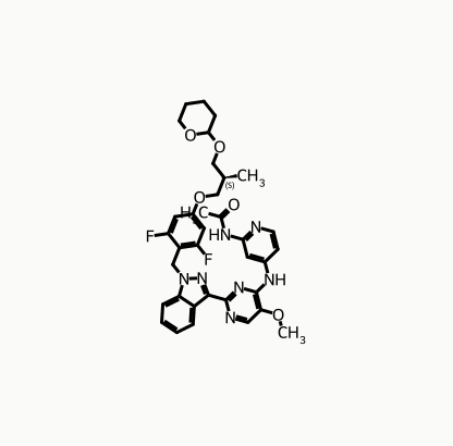 COc1cnc(-c2nn(Cc3c(F)cc(OC[C@H](C)COC4CCCCO4)cc3F)c3ccccc23)nc1Nc1ccnc(NC(C)=O)c1